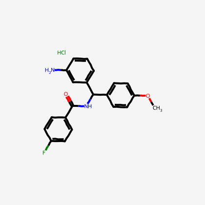 COc1ccc(C(NC(=O)c2ccc(F)cc2)c2cccc(N)c2)cc1.Cl